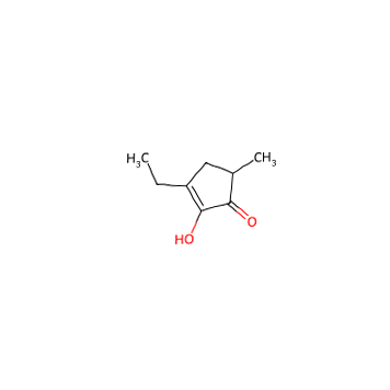 CCC1=C(O)C(=O)C(C)C1